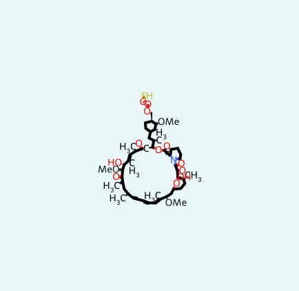 COC1CC(C[C@@H](C)[C@@H]2CC(=O)[C@H](C)/C=C(\C)[C@@H](O)C(OC)C(=O)C(C)C[C@H](C)/C=C/C=C/C=C(\C)[C@@H](OC)CC3CC[C@@H](C)[C@@](O)(O3)C(=O)C(=O)N3CCCC[C@H]3C(=O)O2)CC[C@H]1COOOS